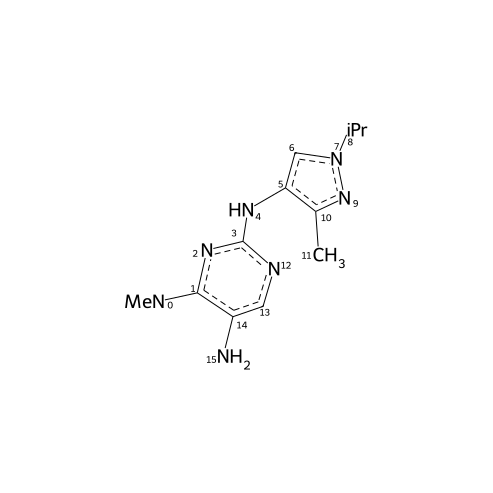 CNc1nc(Nc2cn(C(C)C)nc2C)ncc1N